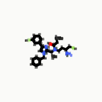 COCC(=O)N(CC[C@H](N)CF)[C@@H](c1nc(-c2cccc(F)c2)cn1Cc1ccccc1)C(C)(C)C